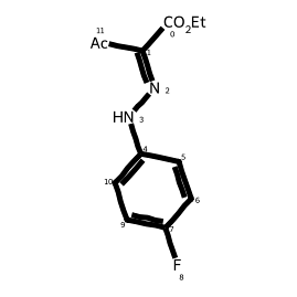 CCOC(=O)/C(=N/Nc1ccc(F)cc1)C(C)=O